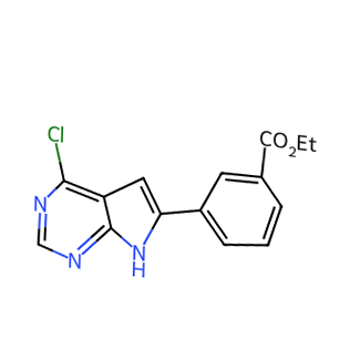 CCOC(=O)c1cccc(-c2cc3c(Cl)ncnc3[nH]2)c1